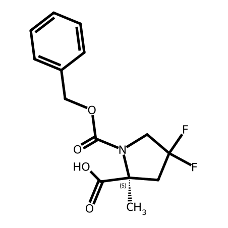 C[C@@]1(C(=O)O)CC(F)(F)CN1C(=O)OCc1ccccc1